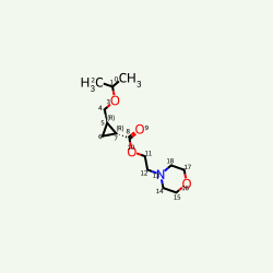 CC(C)OC[C@@H]1C[C@H]1C(=O)OCCN1CCOCC1